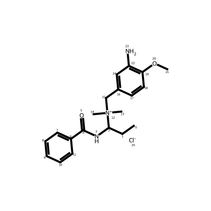 CCC(NC(=O)c1ccccc1)[N+](C)(C)Cc1ccc(OC)c(N)c1.[Cl-]